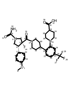 COc1ccc([C@@H]2CN(C(N)=O)C[C@@]2(F)C(=O)N2CCC(c3ccc(C(F)(F)F)cc3N3CCC(C(=O)O)CC3)CC2)cc1